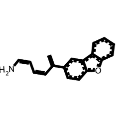 C=C(/C=C\C=C/N)c1ccc2oc3ccccc3c2c1